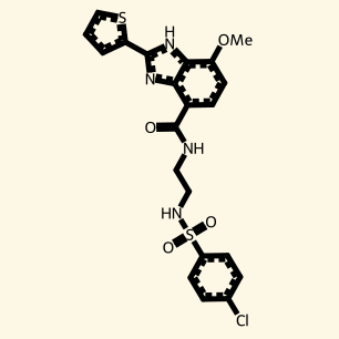 COc1ccc(C(=O)NCCNS(=O)(=O)c2ccc(Cl)cc2)c2nc(-c3cccs3)[nH]c12